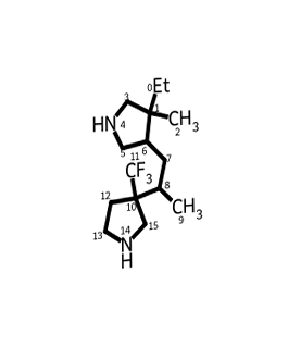 CCC1(C)CNCC1CC(C)C1(C(F)(F)F)CCNC1